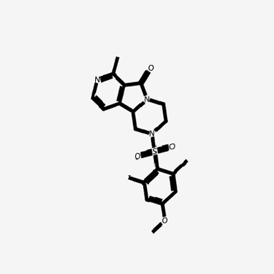 COc1cc(C)c(S(=O)(=O)N2CCN3C(=O)c4c(ccnc4C)C3C2)c(C)c1